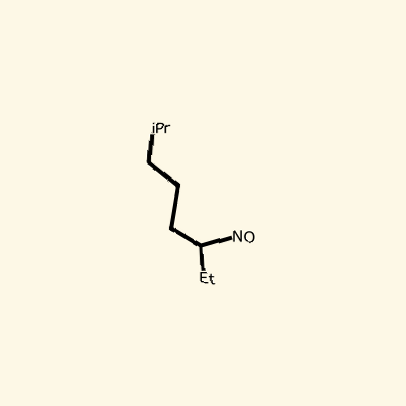 CCC(CCCC(C)C)N=O